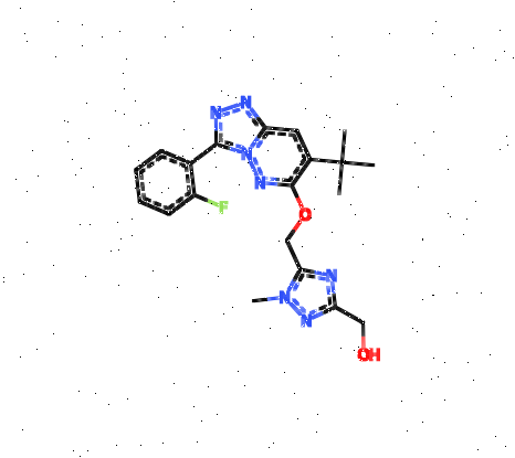 Cn1nc(CO)nc1COc1nn2c(-c3ccccc3F)nnc2cc1C(C)(C)C